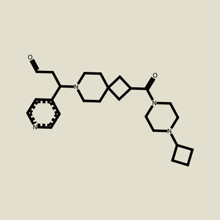 O=CCC(c1ccncc1)N1CCC2(CC1)CC(C(=O)N1CCN(C3CCC3)CC1)C2